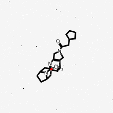 CN1CC2CCC(C1)N2c1ccc2c(n1)CN(C(=O)CC1CCCC1)C2